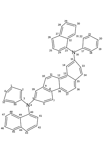 c1ccc(N(c2ccc3c(ccc4c5cc(N(c6ccccc6)c6cccc7ccccc67)ccc5ccc34)c2)c2cccc3ccccc23)cc1